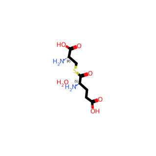 N[C@@H](CSC(=O)[C@@H](N)CCC(=O)O)C(=O)O.O